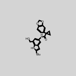 CC(C)(C)c1cc2cc(NC(=O)C3(c4ccc5c(c4)OCO5)CC3)cc(CO)c2[nH]1